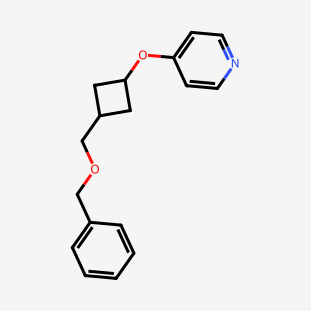 c1ccc(COCC2CC(Oc3ccncc3)C2)cc1